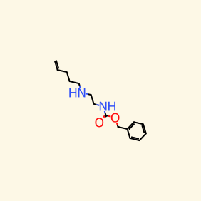 C=CCCCNCCNC(=O)OCc1ccccc1